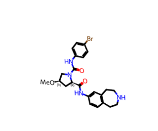 CO[C@@H]1C[C@H](C(=O)Nc2ccc3c(c2)CCNCC3)N(C(=O)Nc2ccc(Br)cc2)C1